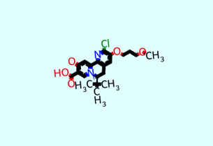 COCCCOc1cc2c(nc1Cl)-c1cc(=O)c(C(=O)O)cn1[C@H](C(C)(C)C)C2